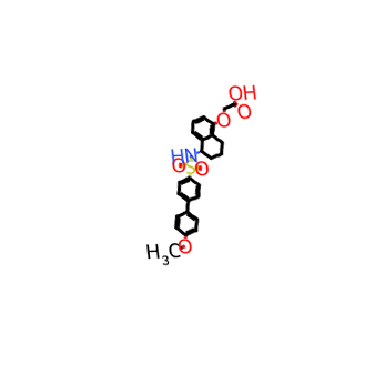 COc1ccc(-c2ccc(S(=O)(=O)N[C@@H]3CCCc4c(OCC(=O)O)cccc43)cc2)cc1